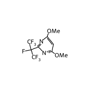 COC1=CC(OC)=[N+]C(C(F)(C(F)(F)F)C(F)(F)F)=N1